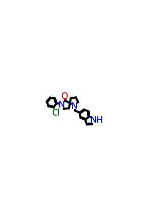 O=C1N(c2ccccc2Cl)CCC12CCCN2Cc1ccc2[nH]ccc2c1